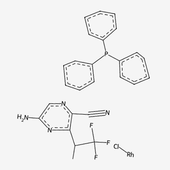 CC(c1nc(N)cnc1C#N)C(F)(F)F.[Cl][Rh].c1ccc(P(c2ccccc2)c2ccccc2)cc1